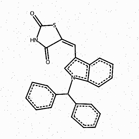 O=C1NC(=O)C(=Cc2cn(C(c3ccccc3)c3ccccc3)c3ccccc23)S1